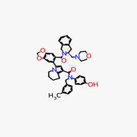 Cc1cccc(CN(C(=O)c2cc(-c3cc4c(cc3C(=O)N3Cc5ccccc5C[C@H]3CN3CCOCC3)OCO4)n3c2CCCC3)c2ccc(O)cc2)c1